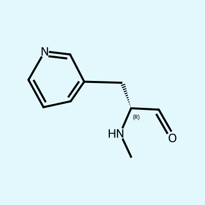 CN[C@@H](C=O)Cc1cccnc1